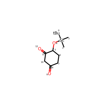 CC(C)(C)[Si](C)(C)OC1CCC(=O)CC1=O